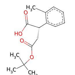 Cc1ccccc1[C@H](CC(=O)OC(C)(C)C)C(=O)O